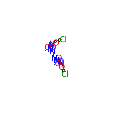 CCCC[N+]1(N2C(=O)CN(N=Cc3ccc(-c4ccc(Cl)cc4)o3)C2=O)CCN(CCCCN2CC[N+](CCCC)(N3C(=O)CN(N=Cc4ccc(-c5ccc(Cl)cc5)o4)C3=O)CC2)CC1